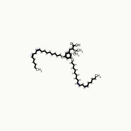 CCCCC/C=C\C/C=C\CCCCCCCCOc1cc(CC(C(=O)O)N(C)C)cc(OCCCCCCCC/C=C\C/C=C\CCCCC)c1